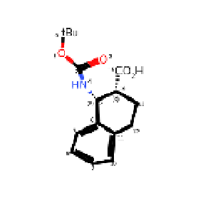 CC(C)(C)OC(=O)N[C@H]1c2ccccc2CC[C@H]1C(=O)O